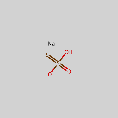 O=S([O-])(O)=S.[Na+]